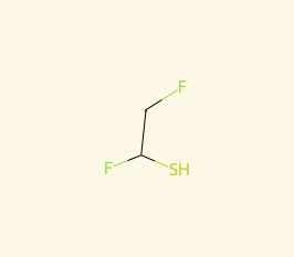 FCC(F)S